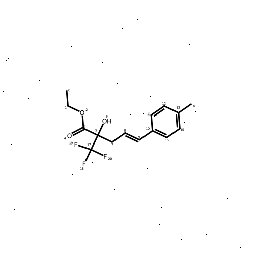 CCOC(=O)C(O)(C/C=C/c1ccc(C)cc1)C(F)(F)F